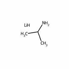 CC(C)N.[LiH]